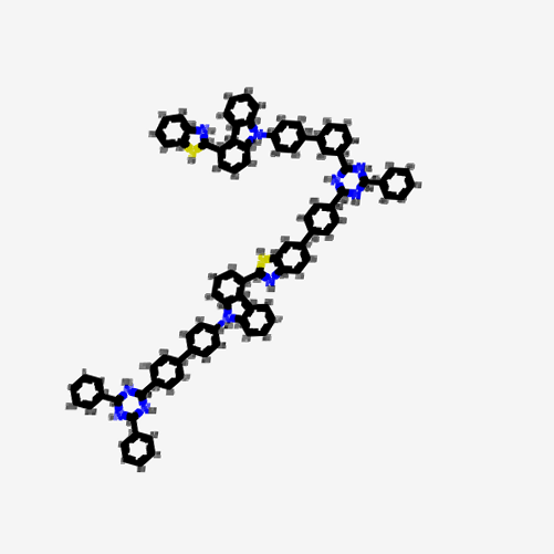 c1ccc(-c2nc(-c3ccccc3)nc(-c3ccc(-c4ccc(-n5c6ccccc6c6c(-c7nc8ccc(-c9ccc(-c%10nc(-c%11ccccc%11)nc(-c%11cccc(-c%12ccc(-n%13c%14ccccc%14c%14c(-c%15nc%16ccccc%16s%15)cccc%14%13)cc%12)c%11)n%10)cc9)cc8s7)cccc65)cc4)cc3)n2)cc1